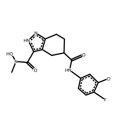 CN(O)C(=O)c1[nH]nc2c1CC(C(=O)Nc1ccc(F)c(Cl)c1)CC2